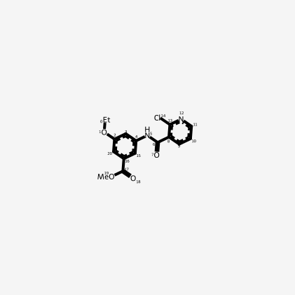 CCOc1cc(NC(=O)c2cccnc2Cl)cc(C(=O)OC)c1